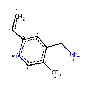 C=Cc1cc(CN)c(C(F)(F)F)cn1